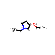 CCO[C@H]1CCN(CC)C1